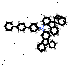 c1ccc(-c2ccc(-c3ccc(N(c4ccc5c(c4)-c4ccccc4C54CCCC4)c4cccc5c4-c4ccccc4C54C5CCC6CC(C5)CC4C6)cc3)cc2)cc1